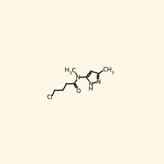 Cc1cc(N(C)C(=O)CCCCl)[nH]n1